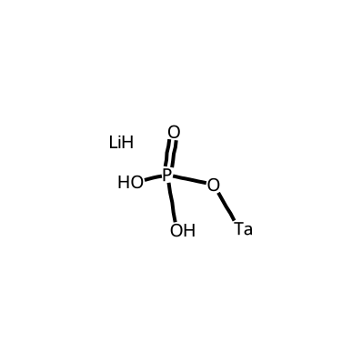 O=P(O)(O)[O][Ta].[LiH]